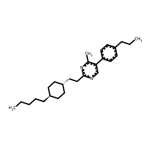 CCCCC[C@H]1CC[C@H](CCc2ncc(-c3ccc(CCC)cc3)c(C)n2)CC1